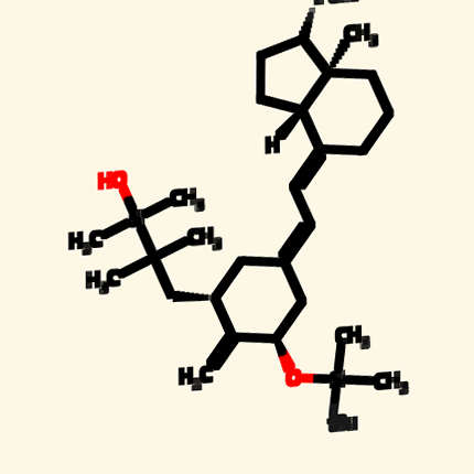 C=C1[C@H](CC(C)(C)[Si](C)(C)O)C/C(=C\C=C2/CCC[C@]3(C)C([C@@H](C)CCC)CC[C@@H]23)C[C@H]1O[Si](C)(C)C(C)(C)C